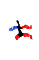 C[C@](N)(O)C(=O)O